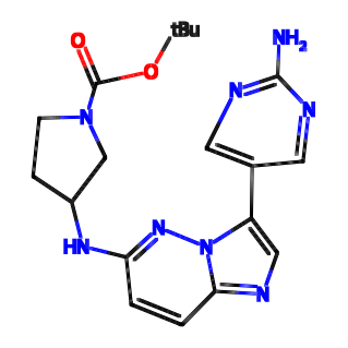 CC(C)(C)OC(=O)N1CCC(Nc2ccc3ncc(-c4cnc(N)nc4)n3n2)C1